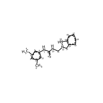 Cc1cc(C)cc(NC(=S)NCN2Cc3ccccc3N2)c1